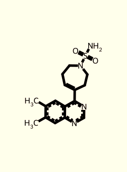 Cc1cc2ncnc(C3=CCCN(S(N)(=O)=O)CC3)c2cc1C